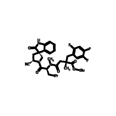 CC(C)C[C@@H](C(=O)N1C[C@]2(C[C@H]1C#N)C(=O)Nc1ccccc12)N(C)C(=O)C[C@](C)(Cc1cc(F)c(F)cc1F)C(=O)OC(C)(C)C